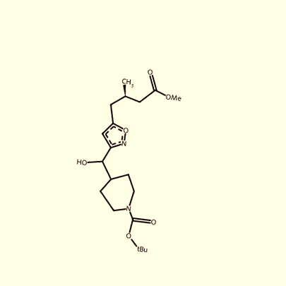 COC(=O)C[C@H](C)Cc1cc(C(O)C2CCN(C(=O)OC(C)(C)C)CC2)no1